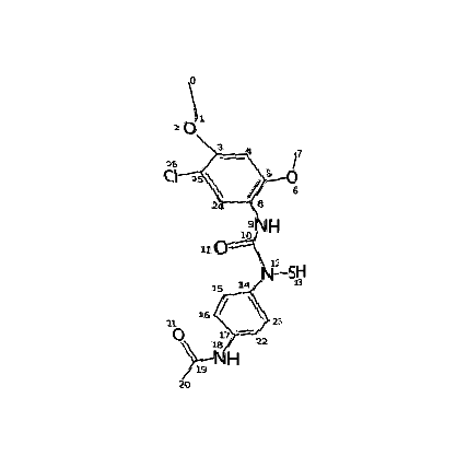 CCOc1cc(OC)c(NC(=O)N(S)c2ccc(NC(C)=O)cc2)cc1Cl